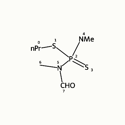 CCCSP(=S)(NC)N(C)C=O